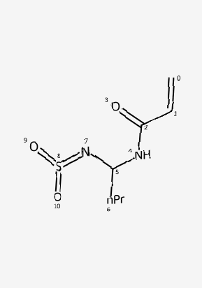 C=CC(=O)NC(CCC)N=S(=O)=O